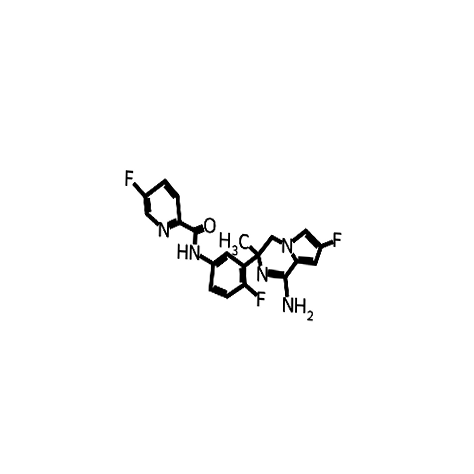 CC1(c2cc(NC(=O)c3ccc(F)cn3)ccc2F)Cn2cc(F)cc2C(N)=N1